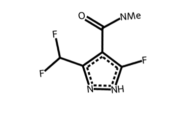 CNC(=O)c1c(C(F)F)n[nH]c1F